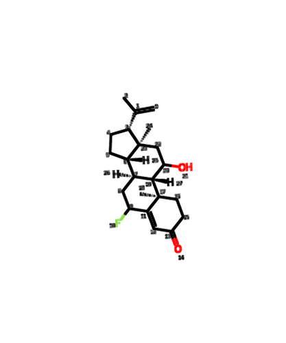 C=C(C)[C@H]1CC[C@H]2[C@@H]3CC(F)C4=CC(=O)CC[C@]4(C)[C@H]3C(O)C[C@]12C